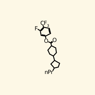 CCCC1CCC(C2CCC(C(=O)Oc3ccc(C(F)(F)F)c(F)c3)CC2)C1